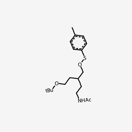 CC(=O)NCCC(CCOC(C)(C)C)COSc1ccc(C)cc1